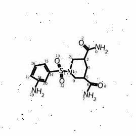 NC(=O)C1CC(C(N)=O)CN(S(=O)(=O)c2cccc(N)c2)C1